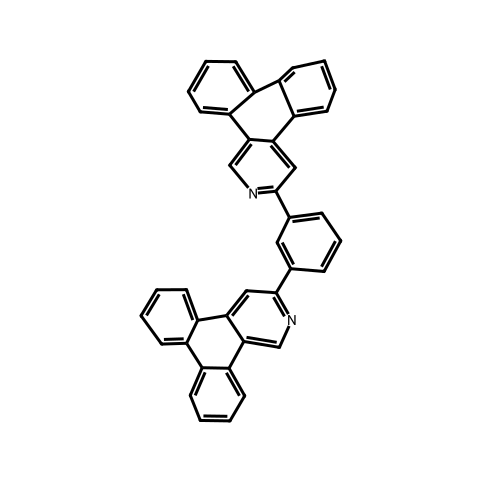 c1cc(-c2cc3c4ccccc4c4ccccc4c3cn2)cc(-c2cc3c4ccccc4c4ccccc4c3cn2)c1